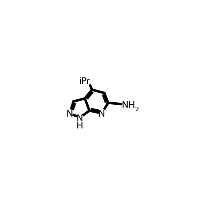 CC(C)c1cc(N)nc2[nH]ncc12